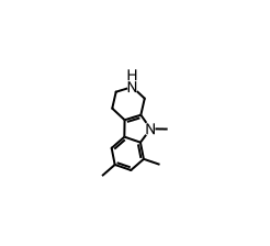 Cc1cc(C)c2c(c1)c1c(n2C)CNCC1